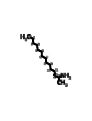 CCCCCCCCCCCCSC(C)N